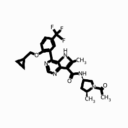 CC(=O)N1C[C@@H](NC(=O)c2c(C)[nH]c3c(-c4cc(C(F)(F)F)ccc4OCC4CC4)ncnc23)C[C@@H]1C